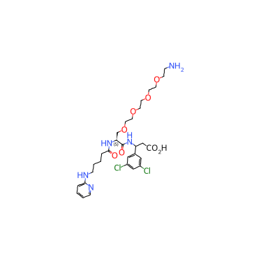 NCCOCCOCCOCCOC[C@H](NC(=O)CCCCNc1ccccn1)C(=O)NC(CC(=O)O)c1cc(Cl)cc(Cl)c1